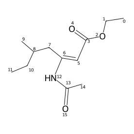 CCOC(=O)C=C(CC(C)CC)NC(C)=O